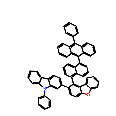 c1ccc(-c2c3ccccc3c(-c3cccc4c(-c5c(-c6ccc7c8ccccc8n(-c8ccccc8)c7c6)ccc6oc7ccccc7c56)cccc34)c3ccccc23)cc1